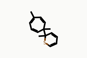 CC1=CC=CC(C)(C2(C)C=CC=CS2)C=C1